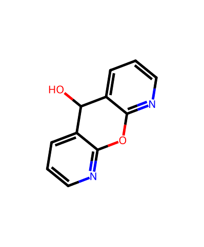 OC1c2cccnc2Oc2ncccc21